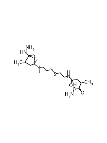 CC(CC(=O)NCCSSCCNC(=O)CC(C)C(=O)NN)C(=O)NN